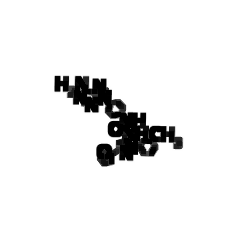 Cc1cccc(-n2nc(-c3ccco3)cc2NC(=O)Nc2ccc(-n3cnc4c(N)ncnc43)cc2)c1